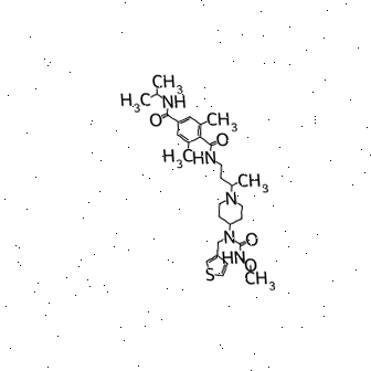 CONC(=O)N(Cc1ccsc1)C1CCN(C(C)CCNC(=O)c2c(C)cc(C(=O)NC(C)C)cc2C)CC1